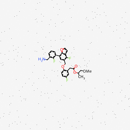 COCC(C)OC(=O)Cc1cc(F)ccc1OCc1cc(-c2cccc(CN)c2F)c2occc2c1F